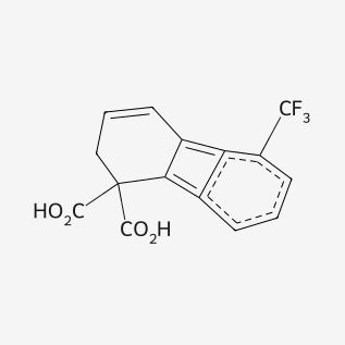 O=C(O)C1(C(=O)O)CC=CC2=c3c(C(F)(F)F)cccc3=C21